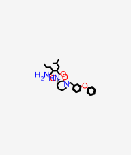 CCCC(C(N)=O)C(CC(C)C)C(=O)N[C@H]1CCCCN(Cc2cccc(Oc3ccccc3)c2)C1=O